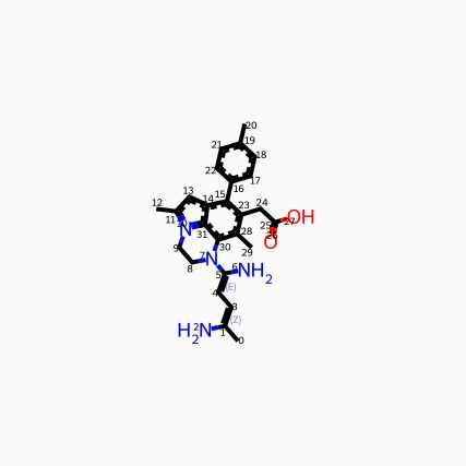 C/C(N)=C/C=C(\N)N1CCn2c(C)cc3c(-c4ccc(C)cc4)c(CC(=O)O)c(C)c1c32